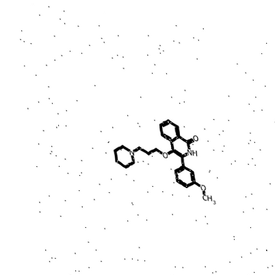 COc1cccc(-c2[nH]c(=O)c3ccccc3c2OCCCN2CCCCC2)c1